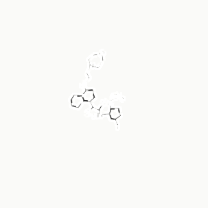 COc1ccc(I)cc1NC(=O)C(=O)c1ccc(OCCN2CCOCC2)c2ccccc12